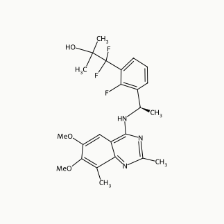 COc1cc2c(N[C@H](C)c3cccc(C(F)(F)C(C)(C)O)c3F)nc(C)nc2c(C)c1OC